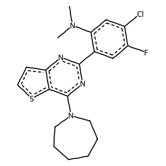 CN(C)c1cc(Cl)c(F)cc1-c1nc(N2CCCCCC2)c2sccc2n1